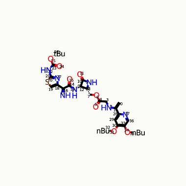 C=C(NCC(=O)OC[C@H]1NC(=O)[C@H]1NC(=O)C(=N)c1csc(NC(=O)OC(C)(C)C)n1)c1cc(OCCCC)c(OCCCC)cn1